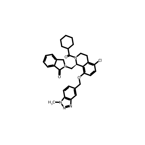 Cn1nnc2cc(COc3ccc(Cl)c4c3[C@@H](CN3Cc5ccccc5C3=O)N(C(=O)C3CCCCC3)CC4)ccc21